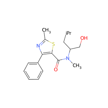 Cc1nc(-c2ccccc2)c(C(=O)N(C)C(CO)CC(C)C)s1